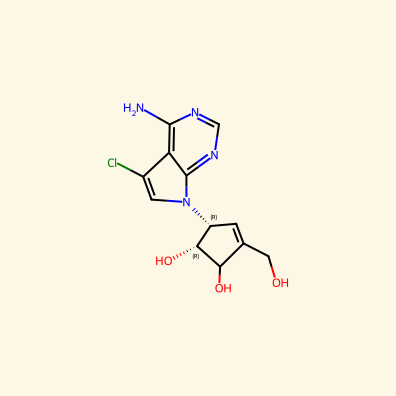 Nc1ncnc2c1c(Cl)cn2[C@@H]1C=C(CO)C(O)[C@@H]1O